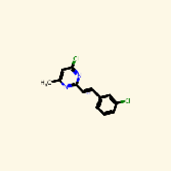 Cc1cc(Cl)nc(/C=C/c2cccc(Cl)c2)n1